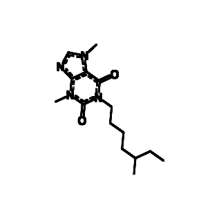 CCC(C)CCCCn1c(=O)c2c(ncn2C)n(C)c1=O